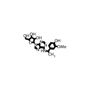 COc1cc(C(C)Nc2ncnc3c2ncn3C2OC(CO)C(O)C2O)ccc1O